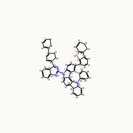 C1=CCCC(C2=CC=C(c3nc(-n4c5ccc(-c6cccc7c8c(sc67)C=CCC8)cc5c5c6c(ccc54)C4C=CC=CC4N6c4ccccc4)nc4ccccc34)CC2)=C1